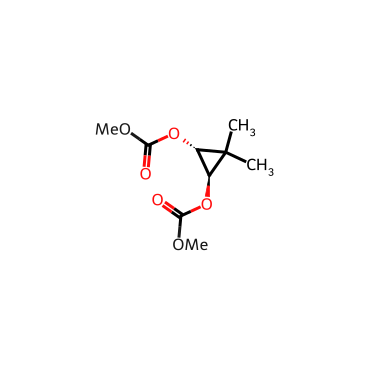 COC(=O)O[C@H]1[C@H](OC(=O)OC)C1(C)C